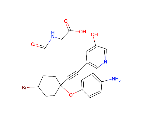 Nc1ccc(OC2(C#Cc3cncc(O)c3)CCC(Br)CC2)cc1.O=CNCC(=O)O